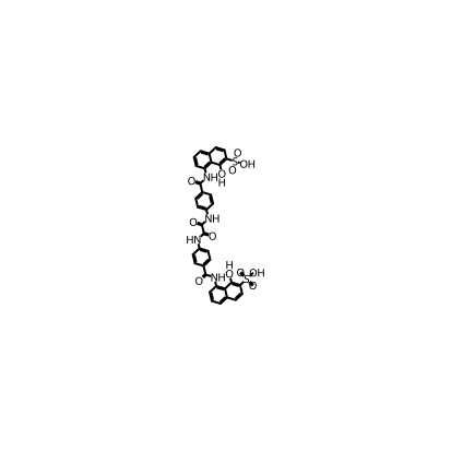 O=C(Nc1ccc(C(=O)Nc2cccc3ccc(S(=O)(=O)O)c(O)c23)cc1)C(=O)Nc1ccc(C(=O)Nc2cccc3ccc(S(=O)(=O)O)c(O)c23)cc1